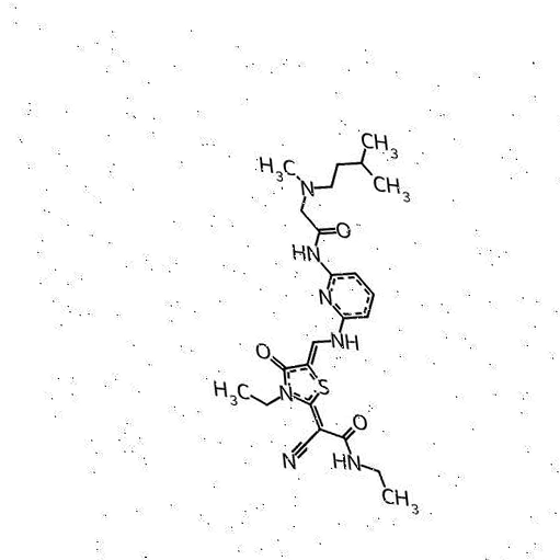 CCNC(=O)C(C#N)=c1sc(=CNc2cccc(NC(=O)CN(C)CCC(C)C)n2)c(=O)n1CC